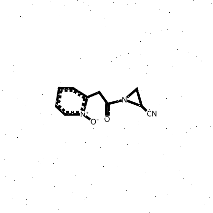 N#CC1CN1C(=O)Cc1cccc[n+]1[O-]